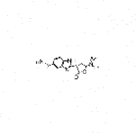 CCCSc1ccc2[nH]c(N3C[C@@H](N(CC)C(C)=O)OC3=O)nc2c1